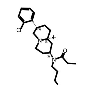 CCCCN(C(=O)CC)[C@H]1CCN2C[C@H](c3ccccc3Cl)CC[C@H]2C1